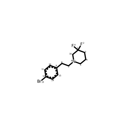 FC1(F)CCCN(CCc2ccc(Br)cc2)C1